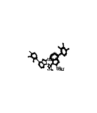 Cc1ccc(-c2cccc3c2C=C(C(C)(C)C)[CH]3[Zr]([CH]2C(C(C)(C)C)=Cc3c(-c4ccc(C)c(C)c4C)cccc32)[SiH](C)C)c(C)c1C